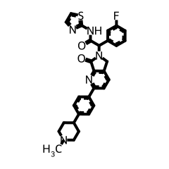 CN1CCC(c2ccc(-c3ccc4c(n3)C(=O)N(C(C(=O)Nc3nccs3)c3cccc(F)c3)C4)cc2)CC1